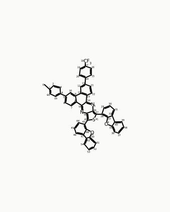 Cc1ccc(-c2ccc3c(c2)c2cc(-c4ccc(C(F)(F)F)cc4)ccc2c2nc4c(-c5cccc6c5oc5ccccc56)sc(-c5cccc6c5oc5ccccc56)c4nc32)cc1